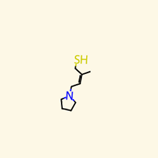 CC(=CCN1CCCC1)CS